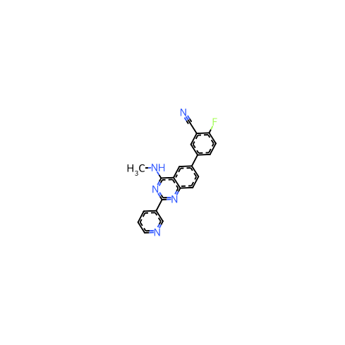 CNc1nc(-c2cccnc2)nc2ccc(-c3ccc(F)c(C#N)c3)cc12